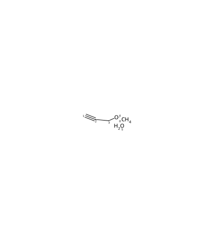 C.C#CC[O].O